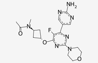 CC(=O)N(C)[C@H]1C[C@H](Oc2nc(N3CCOCC3)nc(-c3cnc(N)nc3)c2F)C1